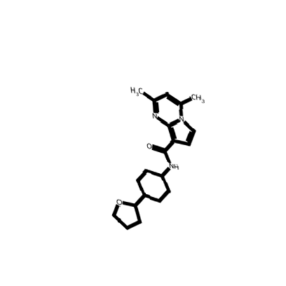 Cc1cc(C)n2ccc(C(=O)NC3CCC(C4CCCO4)CC3)c2n1